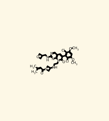 COc1cc(OC)c(Cl)c(-c2cc3cnc(NCC4COC4)nc3n(CCNC3CN(C(=O)C=C(C)C)C3)c2=O)c1Cl